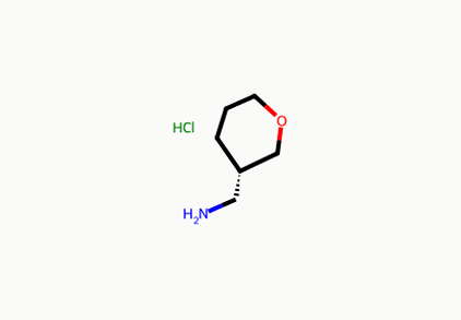 Cl.NC[C@@H]1CCCOC1